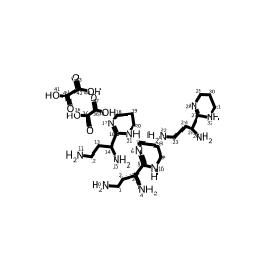 NCCC(N)C1=NCCCN1.NCCC(N)C1=NCCCN1.NCCC(N)C1=NCCCN1.O=C(O)C(=O)O.O=C(O)C(=O)O